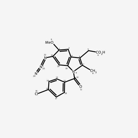 COc1cc2c(CC(=O)O)c(C)n(C(=O)c3ccc(Cl)cc3)c2cc1N=[N+]=[N-]